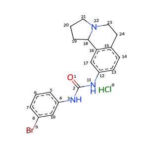 Cl.O=C(Nc1cccc(Br)c1)Nc1ccc2c(c1)C1CCCN1CC2